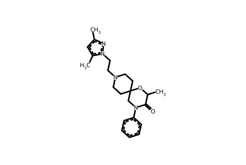 Cc1cc(C)n(CCN2CCC3(CC2)CN(c2ccccc2)C(=O)C(C)O3)n1